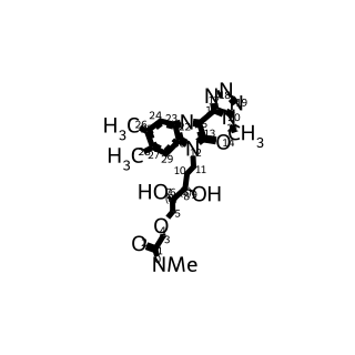 CNC(=O)COC[C@@H](O)[C@@H](O)CCn1c(=O)c(-c2nnnn2C)nc2cc(C)c(C)cc21